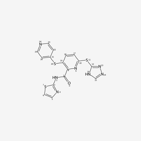 O=C(Nc1nccs1)c1nc(Sc2nnc[nH]2)ccc1Sc1ccncc1